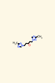 Cc1ncn(CCC(=O)CCn2cnc(C)n2)n1